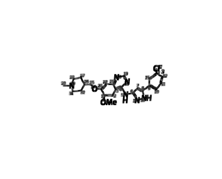 COc1cc2c(Nc3cc(-c4cccc(C(F)(F)F)c4)[nH]n3)ncnc2cc1OCC1CCN(C)CC1